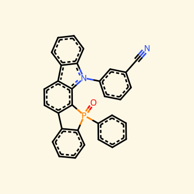 N#Cc1cccc(-n2c3ccccc3c3ccc4c(c32)P(=O)(c2ccccc2)c2ccccc2-4)c1